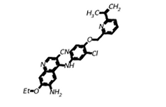 C=C(C)c1cccc(COc2ccc(Nc3c(C#N)cnc4cc(OCC)c(N)cc34)cc2Cl)n1